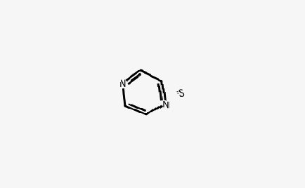 [S].c1cnccn1